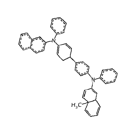 CC12C=CC=CC1C=C(N(c1ccccc1)c1ccc(C3C=CC(N(c4ccccc4)c4ccc5ccccc5c4)=CC3)cc1)C=C2